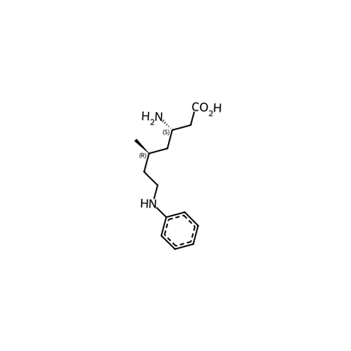 C[C@H](CCNc1ccccc1)C[C@H](N)CC(=O)O